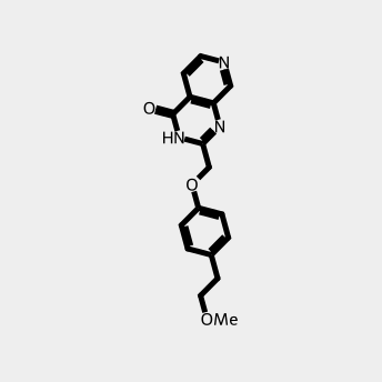 COCCc1ccc(OCc2nc3cnccc3c(=O)[nH]2)cc1